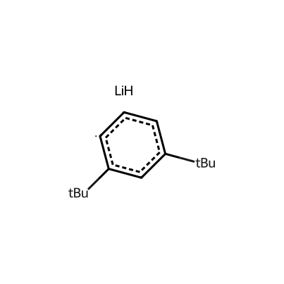 CC(C)(C)c1[c]ccc(C(C)(C)C)c1.[LiH]